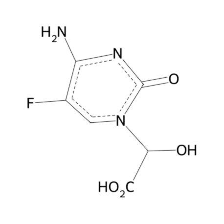 Nc1nc(=O)n(C(O)C(=O)O)cc1F